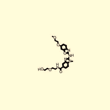 COCCOc1ccc2nc(Nc3nc4cc(C(=O)NCCOCCO)ccc4n3C)oc2c1